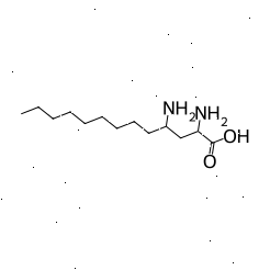 CCCCCCCCCC(N)CC(N)C(=O)O